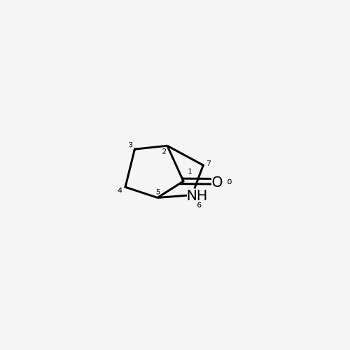 O=C1C2CCC1NC2